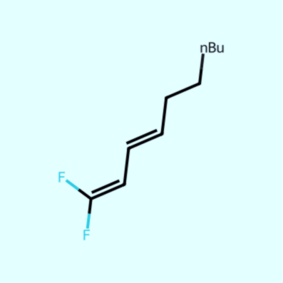 [CH2]CCCCCC=CC=C(F)F